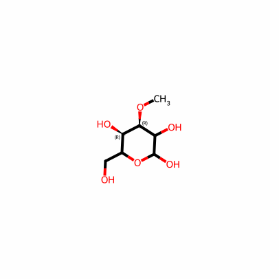 CO[C@H]1C(O)C(O)OC(CO)[C@H]1O